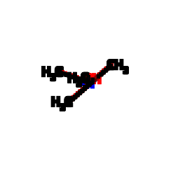 CCCCCCCCCCCCCCCCCCN(CCCCCCCCCCCCCCCCCC)CCN(CCCCCCCCCCCCCCCCCC)C(C)O